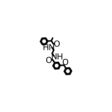 CC(C(=O)NCCNC(=O)c1cccc(C(=O)c2ccccc2)c1)c1ccccc1